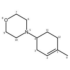 CC1=CCC(N2CCOCC2)CC1